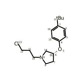 CC(C)(C)c1ccc(O[C@@H]2CCN(CCCCl)C2)cc1